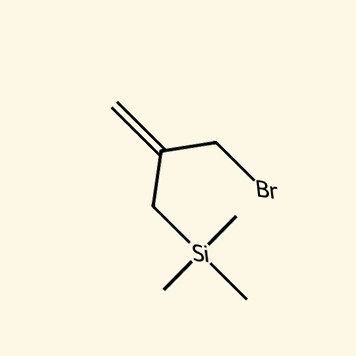 C=C(CBr)C[Si](C)(C)C